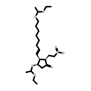 CCOC(C)OCCCCCCC=C[C@@H]1[C@H](OC(C)OCC)CC(=O)[C@@H]1CC[N+](=O)[O-]